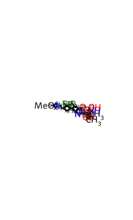 COC1CN(CCc2ccc(-c3cc4ncn(CCC(C)(C(=O)NO)S(C)(=O)=O)c(=O)c4cc3F)c(F)c2F)C1